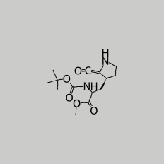 COC(=O)C(C[C@@H]1CCNC1=C=O)NC(=O)OC(C)(C)C